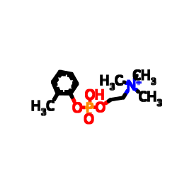 Cc1ccccc1OP(=O)(O)OCC[N+](C)(C)C